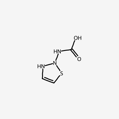 O=C(O)NN1NC=CS1